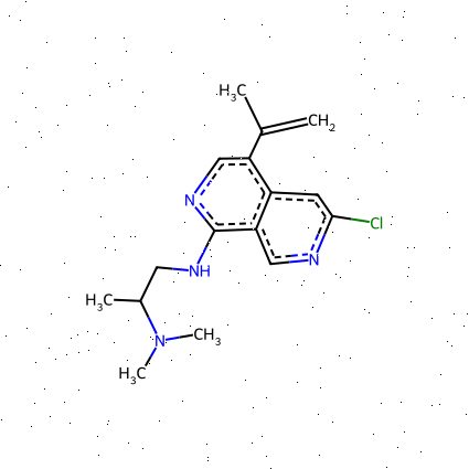 C=C(C)c1cnc(NCC(C)N(C)C)c2cnc(Cl)cc12